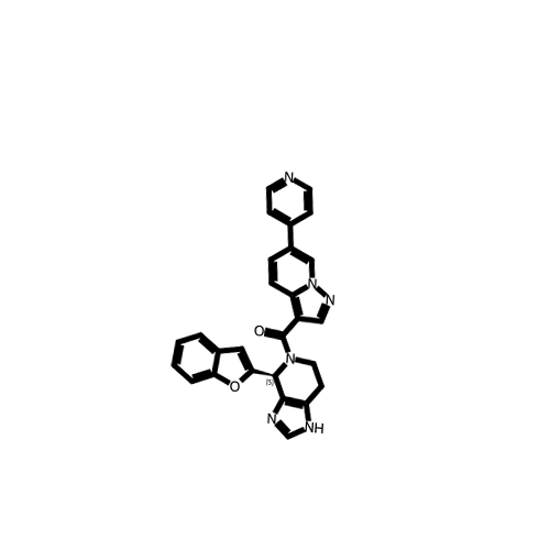 O=C(c1cnn2cc(-c3ccncc3)ccc12)N1CCc2[nH]cnc2[C@H]1c1cc2ccccc2o1